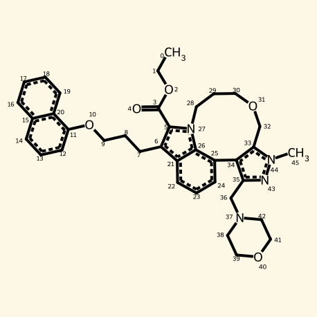 CCOC(=O)c1c(CCCOc2cccc3ccccc23)c2cccc3c2n1CCCOCc1c-3c(CN2CCOCC2)nn1C